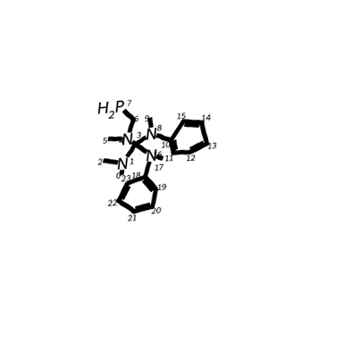 CN(C)C(N(C)CP)(N(C)c1ccccc1)N(C)c1ccccc1